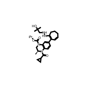 CC(C)OC(=O)N1C[C@H](C)N(C(=O)C2CC2)c2ccc(C3=C(NNCC(C)(C)O)CCCC=C3)cc21